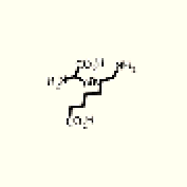 CCCCC(N)C(=O)O.NCCCCCCC(=O)O